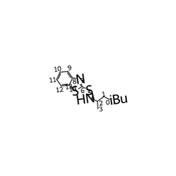 CCC(C)CC(C)NSc1nc2ccccc2s1